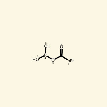 CCCC(=O)OP(O)O